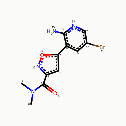 CN(C)C(=O)c1cc(-c2cc(Br)cnc2N)on1